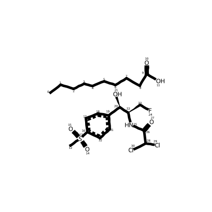 CCCCCCCCCC(=O)O.CS(=O)(=O)c1ccc([C@@H](O)[C@@H](CF)NC(=O)C(Cl)Cl)cc1